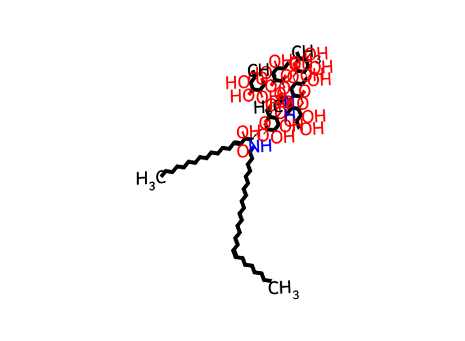 CCCCCCCC/C=C\CCCCCCCCCCCCCCCC(=O)N[C@@H](CO[C@@H]1OC(CO)[C@@H](O[C@@H]2OC(CO)[C@H](O)[C@H](O[C@@H]3OC(CO)[C@@H](O[C@H]4OC(C)[C@@H](O)C(O)[C@@H]4O)[C@H](O[C@@H]4OC(CO)[C@H](O)[C@H](O)C4O[C@H]4OC(C)[C@@H](O)C(O)[C@@H]4O)C3NC(C)=O)C2O)[C@H](O)C1O)[C@H](O)/C=C/CCCCCCCCCCCCC